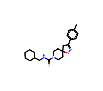 Cc1ccc(C2=NOC3(CCN(C(=S)NCC4CCCCC4)CC3)C2)cc1